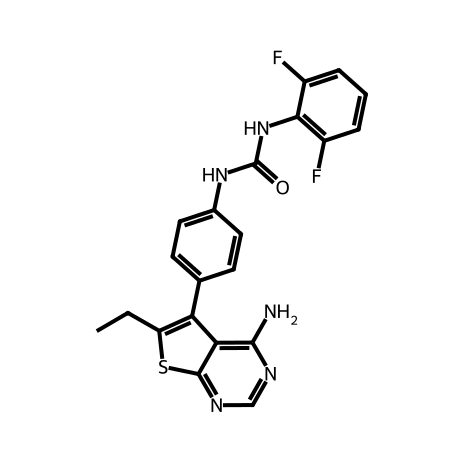 CCc1sc2ncnc(N)c2c1-c1ccc(NC(=O)Nc2c(F)cccc2F)cc1